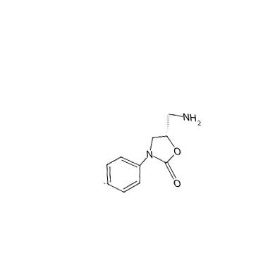 NC[C@H]1CN(c2cc[c]cc2)C(=O)O1